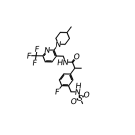 CC1CCN(c2nc(C(F)(F)F)ccc2CNC(=O)C(C)c2ccc(F)c(CNS(C)(=O)=O)c2)CC1